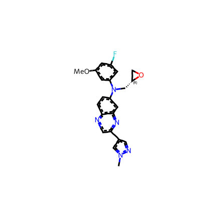 COc1cc(F)cc(N(C[C@@H]2CO2)c2ccc3ncc(-c4cnn(C)c4)nc3c2)c1